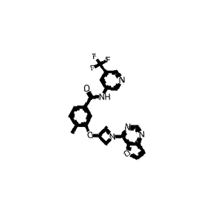 Cc1ccc(C(=O)Nc2cncc(C(F)(F)F)c2)cc1OC1CN(c2ncnc3ccoc23)C1